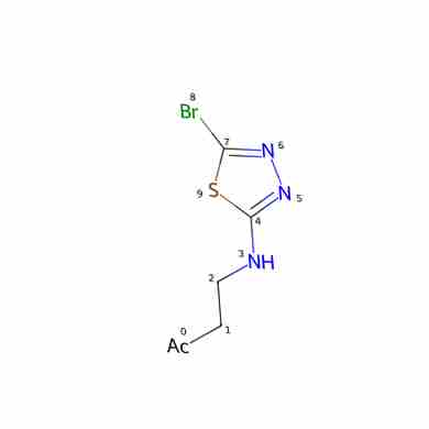 CC(=O)CCNc1nnc(Br)s1